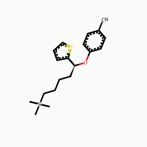 C[Si](C)(C)CC[CH]C[C@H](Oc1ccc(C#N)cc1)c1cccs1